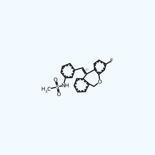 CS(=O)(=O)Nc1cccc(/C=C2\c3ccccc3COc3cc(F)ccc32)c1